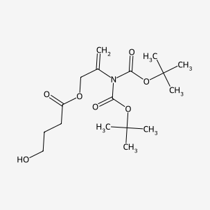 C=C(COC(=O)CCCO)N(C(=O)OC(C)(C)C)C(=O)OC(C)(C)C